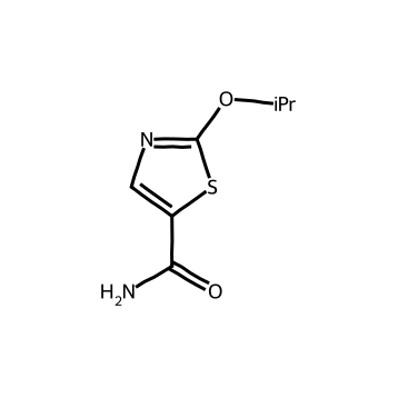 CC(C)Oc1ncc(C(N)=O)s1